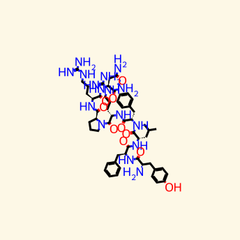 CC(C)C[C@H](NC(=O)[C@H](Cc1ccccc1)NC(=O)[C@@H](N)Cc1ccc(O)cc1)C(=O)N[C@@H](Cc1ccccc1)C(=O)N[C@@H](CCCNC(=N)N)C(=O)N1CCC[C@H]1C(=O)N[C@@H](CCCNC(=N)N)C(=O)N[C@@H](CC(N)=O)C(N)=O